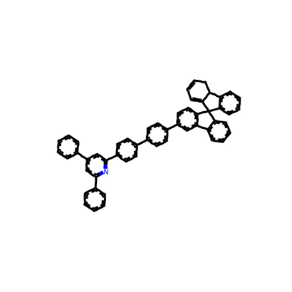 C1=CCC2C(=C1)C1(c3ccccc3-c3cc(-c4ccc(-c5ccc(-c6cc(-c7ccccc7)cc(-c7ccccc7)n6)cc5)cc4)ccc31)c1ccccc12